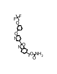 CC(OC(N)=O)c1ccc2nc(-c3ccc(Oc4cccc(OCC(C)(F)F)c4)nc3)oc2c1